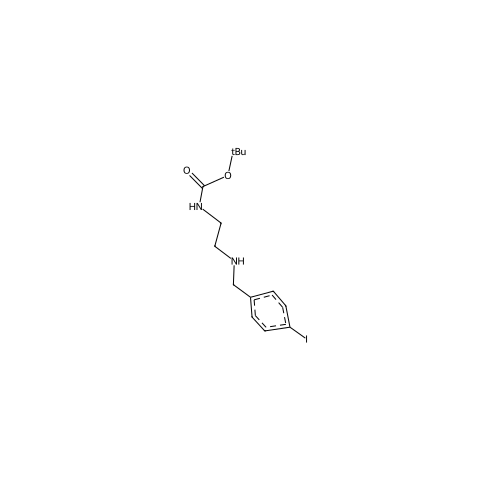 CC(C)(C)OC(=O)NCCNCc1ccc(I)cc1